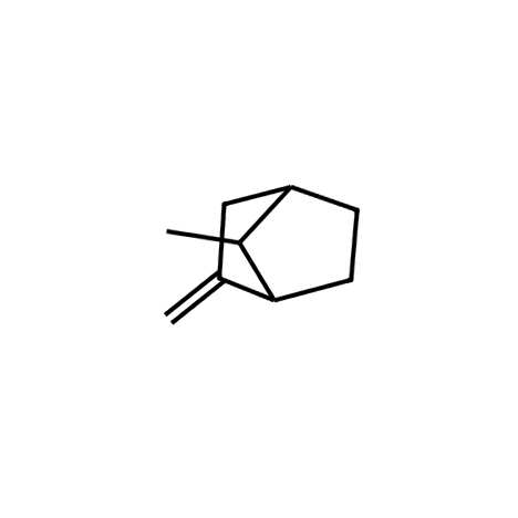 C=C1CC2CCC1C2C